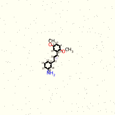 COc1ccc(OC)c(/C=C/Cc2cccc(N)c2)c1